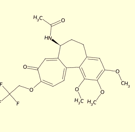 COc1cc2c(c(OC)c1OC)-c1ccc(OCC(F)(F)F)c(=O)cc1[C@@H](NC(C)=O)CC2